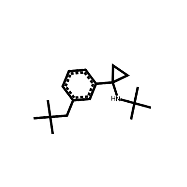 CC(C)(C)Cc1cccc(C2(NC(C)(C)C)CC2)c1